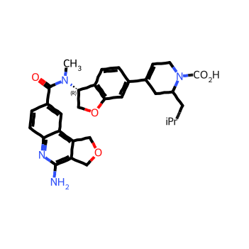 CC(C)CC1CC(c2ccc3c(c2)OC[C@@H]3N(C)C(=O)c2ccc3nc(N)c4c(c3c2)COC4)=CCN1C(=O)O